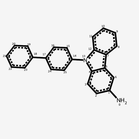 Nc1ccc2c(c1)c1ccccc1n2-c1ccc(-c2ccccc2)cc1